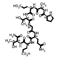 C[C@H](NC(=O)[C@@H]1CCCN1)C(=O)N[C@@H](CCC(=O)O)C(=O)N[C@H](C(=O)NCC(=O)N[C@@H](CCC(N)=O)C(=O)N[C@@H](CCC(=O)O)C(=O)N[C@H](C(N)=O)[C@@H](C)O)[C@@H](C)O